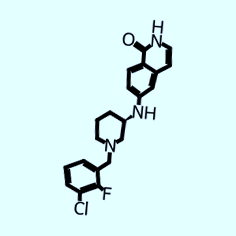 O=c1[nH]ccc2cc(N[C@@H]3CCCN(Cc4cccc(Cl)c4F)C3)ccc12